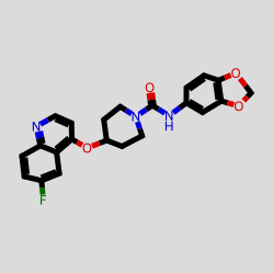 O=C(Nc1ccc2c(c1)OCO2)N1CCC(Oc2ccnc3ccc(F)cc23)CC1